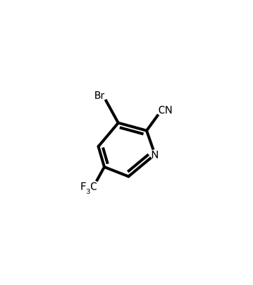 N#Cc1ncc(C(F)(F)F)cc1Br